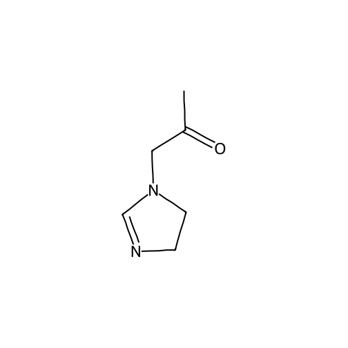 CC(=O)CN1C=NCC1